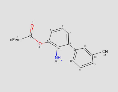 CCCCCC(=O)Oc1cccc(-c2cccc(C#N)c2)c1N